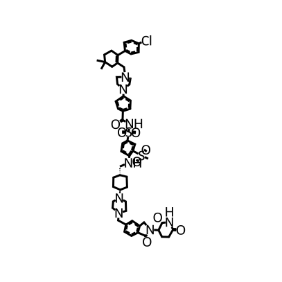 CC1(C)CCC(c2ccc(Cl)cc2)=C(CN2CCN(c3ccc(C(=O)NS(=O)(=O)c4ccc(NC[C@H]5CC[C@H](N6CCN(Cc7ccc8c(c7)CN(C7CCC(=O)NC7=O)C8=O)CC6)CC5)c(S(C)(=O)=O)c4)cc3)CC2)C1